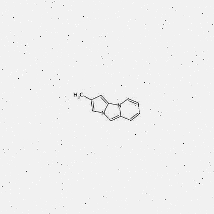 Cc1cc2n(c1)cc1ccccn12